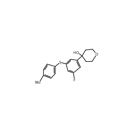 CC(C)(C)c1ccc(Sc2cc(F)cc(C3(O)CCOCC3)c2)cc1